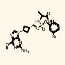 COc1nc(N)nc2c1ncn2[C@H]1C[C@@H](COP(=O)(NC(C)C(=O)O)Oc2cccc(Br)c2)C1